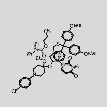 CCOC1(O[C@@H]2[C@H](OP(OCCC#N)N(C(C)C)C(C)C)[C@@H](CSC(c3ccccc3)(c3ccc(OC)cc3)c3ccc(OC)cc3)O[C@H]2n2ccc(=O)[nH]c2=O)CCN(c2ccc(Cl)cc2)CC1